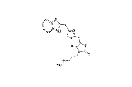 O=C(O)NCCCN1C(=O)SC(=Cc2ccc(Sc3nc4ccccc4[nH]3)o2)C1=O